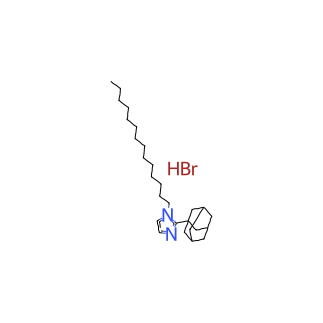 Br.CCCCCCCCCCCCCCn1ccnc1C12CC3CC(CC(C3)C1)C2